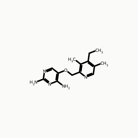 CCc1c(C)cnc(COc2cnc(N)nc2N)c1C